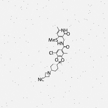 CSc1cc(C)[nH]c(=O)c1CNC(=O)c1cc(Cl)c2c(c1C)O[C@@](C)([C@H]1CC[C@@H](N3CC(C#N)C3)CC1)O2